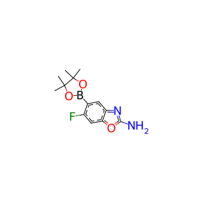 CC1(C)OB(c2cc3nc(N)oc3cc2F)OC1(C)C